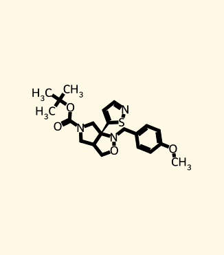 COc1ccc(CN2OCC3CN(C(=O)OC(C)(C)C)C[C@@]32c2ccns2)cc1